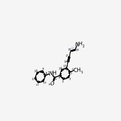 Cc1ccc(C(=O)Nc2ccccc2)cc1C#C/C=C/N